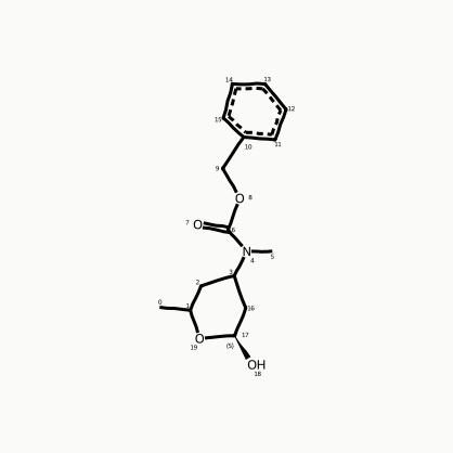 CC1CC(N(C)C(=O)OCc2ccccc2)C[C@@H](O)O1